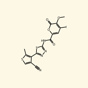 COc1c(I)cc(C(=O)Nc2nnc(-c3c(C#N)csc3C)s2)oc1=O